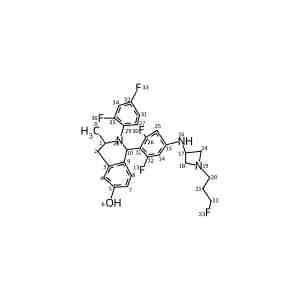 CC1Cc2cc(O)ccc2C(c2c(F)cc(NC3CN(CCCF)C3)cc2F)N1c1ccc(F)cc1F